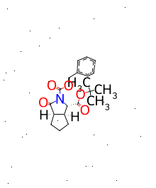 CC(C)(C)OC(=O)[C@@H]1[C@H]2CCC[C@H]2C(=O)N1C(=O)OCc1ccccc1